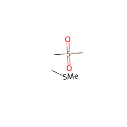 CS(C)(=O)=O.CSC